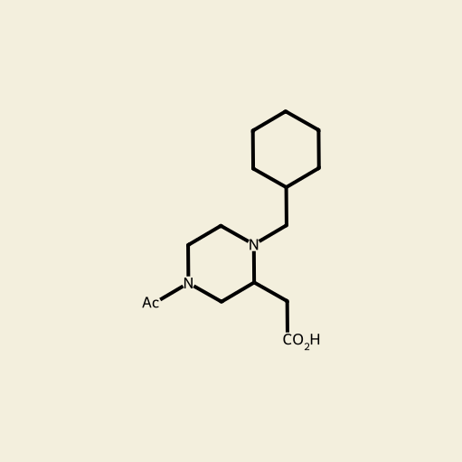 CC(=O)N1CCN(CC2CCCCC2)C(CC(=O)O)C1